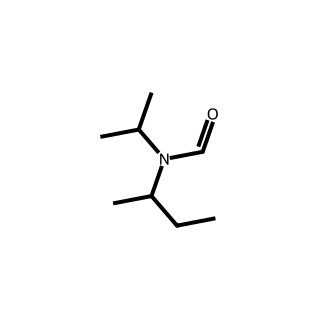 CCC(C)N(C=O)C(C)C